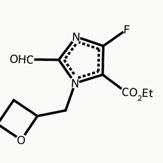 CCOC(=O)c1c(F)nc(C=O)n1CC1CCO1